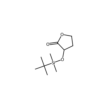 CC(C)(C)[Si](C)(C)OC1CCOC1=O